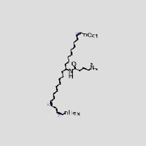 CCCCCC/C=C\C/C=C\CCCCCCCCC(CCCCCCCC/C=C\CCCCCCCC)NC(=O)CCCN(C)C